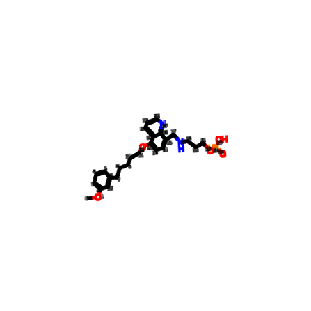 COc1cccc(CCCCCOc2ccc(CNCCCO[PH](=O)O)c3ncccc23)c1